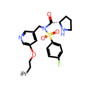 CC(C)CCOc1cncc(CN(C(=O)[C@@H]2CCCN2)S(=O)(=O)c2ccc(F)cc2)c1